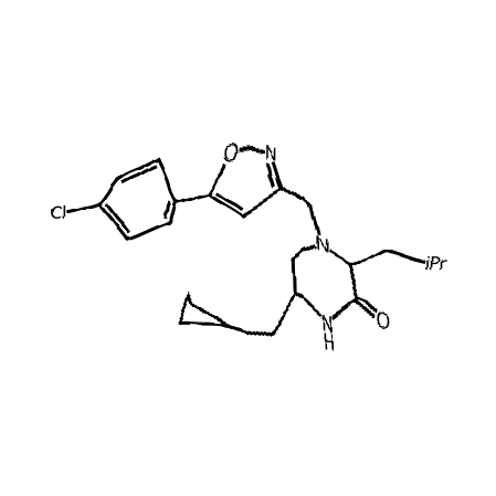 CC(C)CC1C(=O)NC(CC2CC2)CN1Cc1cc(-c2ccc(Cl)cc2)on1